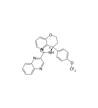 O=C(N[C@]1(c2ccc(OC(F)(F)F)cc2)CCOc2cccnc21)c1cnc2ccccc2n1